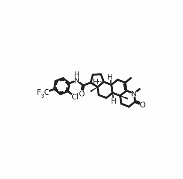 CC1=C2N(C)C(=O)CC[C@]2(C)[C@@H]2CC[C@]3(C)C(C(=O)Nc4ccc(C(F)(F)F)cc4Cl)CC[C@H]3[C@@H]2C1